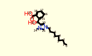 CCCCCCCCCN1C=C(C(O)c2ccccc2C(=O)O)N(C)C1